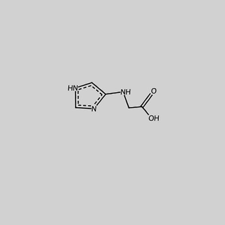 O=C(O)CNc1c[nH]cn1